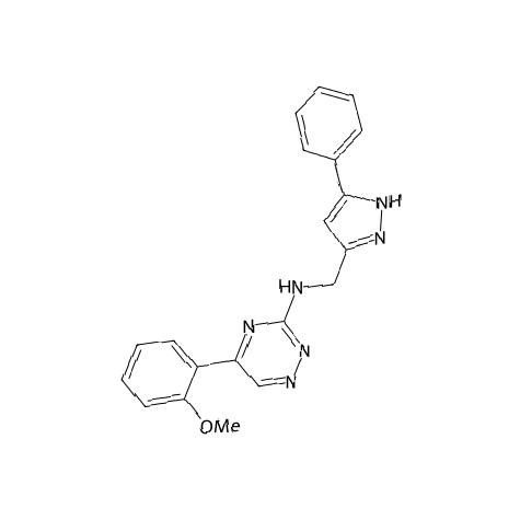 COc1ccccc1-c1cnnc(NCc2cc(-c3ccccc3)[nH]n2)n1